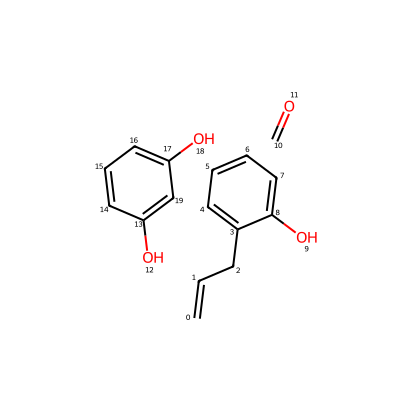 C=CCc1ccccc1O.C=O.Oc1cccc(O)c1